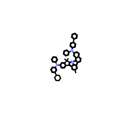 Cc1cc2c3c(n4c2c(c1)c1ccc2ccc(N(c5ccccc5)c5ccc(-c6ccccc6)cc5)cc2c14)C(C)(C)c1cc(N(c2ccccc2)c2cccc(C4CCCCC4)c2)ccc1-3